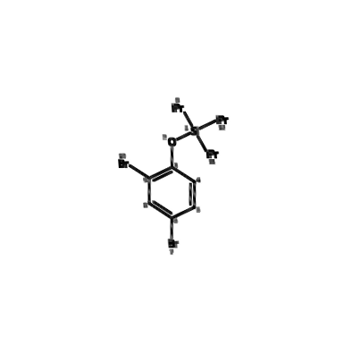 CC(C)[Si](Oc1ccc(Br)cc1Br)(C(C)C)C(C)C